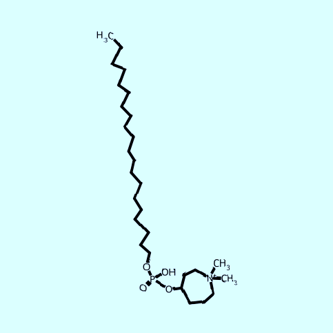 CCCCCCCCCCCCCCCCCCCCOP(=O)(O)OC1CCC[N+](C)(C)CC1